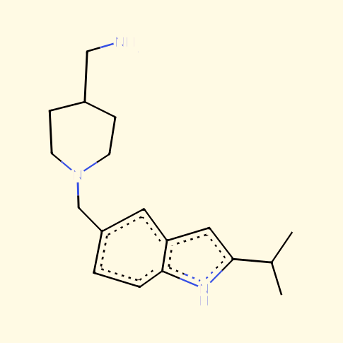 CC(C)c1cc2cc(CN3CCC(CN)CC3)ccc2[nH]1